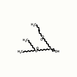 CCCCC#CCCCOC(=O)CCCCCCCN(CCCCCCCC(=O)OC(CCCCCCCC)CCCCCCCC)C1CC(O)C1